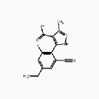 CCc1cc(F)c(-c2[nH]nc(C)c2C(=O)O)c(C#N)c1